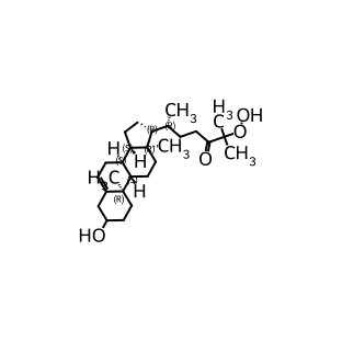 C[C@H](CCC(=O)C(C)(C)OO)[C@H]1CC[C@H]2[C@@H]3CC=C4CC(O)CC[C@]4(C)[C@H]3CC[C@]12C